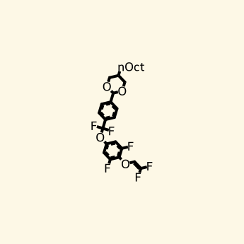 CCCCCCCCC1COC(c2ccc(C(F)(F)Oc3cc(F)c(OC=C(F)F)c(F)c3)cc2)OC1